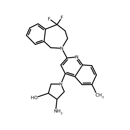 Cc1ccc2nc(N3CCC(F)(F)c4ccccc4C3)cc(N3CC(N)C(O)C3)c2c1